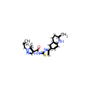 C#CCn1ncc(C(=O)Nc2nc(-c3ccc4c(c3)CCC(=C)N4)cs2)c1C